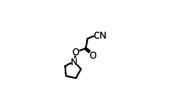 N#CCC(=O)ON1CCCC1